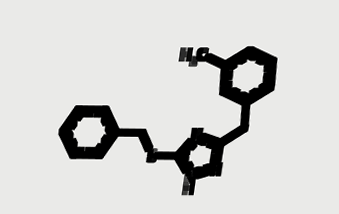 Cc1cccc(Cc2n[nH]c(SCc3ccccc3)n2)c1